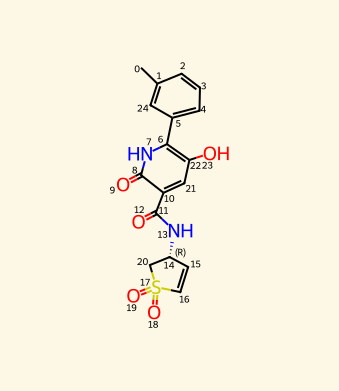 Cc1cccc(-c2[nH]c(=O)c(C(=O)N[C@@H]3C=CS(=O)(=O)C3)cc2O)c1